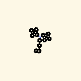 c1ccc(C2(c3ccccc3)c3ccccc3-c3ccc(N(c4ccc(-c5ccc(-c6cccc7ccccc67)cc5)cc4)c4ccc5c(c4)-c4ccccc4C54c5ccccc5-c5ccccc54)cc32)cc1